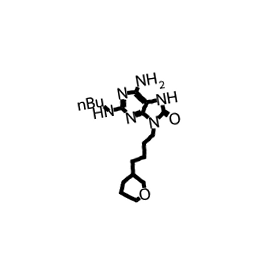 CCCCNc1nc(N)c2[nH]c(=O)n(CCCCC3CCCOC3)c2n1